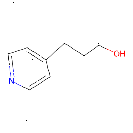 O[CH]CCc1ccncc1